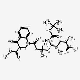 COC(=O)[C@@H]1CN(C(=O)CC(C)(C)C[C@H](NC(=O)OC(C)(C)C)[C@@H](O)C[C@@H](C)C(=O)O)c2ccccc2C1=O